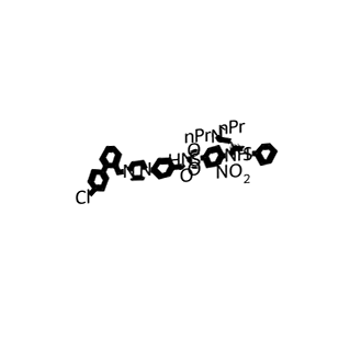 CCCN(CCC)CC[C@H](CSc1ccccc1)Nc1ccc(S(=O)(=O)NC(=O)c2ccc(N3CCN(Cc4ccccc4-c4ccc(Cl)cc4)CC3)cc2)cc1[N+](=O)[O-]